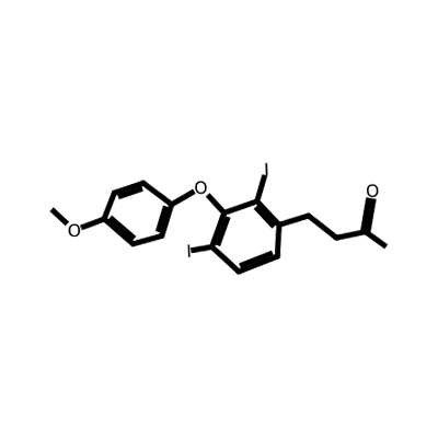 COc1ccc(Oc2c(I)ccc(CCC(C)=O)c2I)cc1